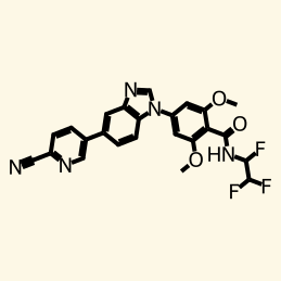 COc1cc(-n2cnc3cc(-c4ccc(C#N)nc4)ccc32)cc(OC)c1C(=O)NC(F)C(F)F